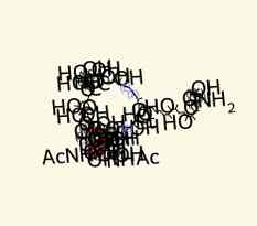 CCC1C(=O)OC(CC(O)CCCCC(C)C(O)C(C)CCC(O)C(C)C(C)O[C@H]2C[C@](C)(N)[C@H](O)[C@@H](C)O2)C(C)/C=C\C=C\C(O)C(C)C(O)CC(O)CC(O[C@@H]2OC(CO)[C@@H](O)[C@H](O)[C@H]2O)C(C)C2CC(O)C(O)C(O)(CC(O[C@H]3O[C@H](C)[C@H](O[C@@H]4O[C@H](C)[C@@H](O)[C@H](O[C@H]5C[C@@H](NC(C)=O)[C@H](O)[C@H](C)O5)[C@@H]4O)[C@H](O[C@H]4C[C@@H](NC(C)=O)[C@H](O)[C@H](C)O4)[C@@H]3O[C@@H]3O[C@@H](C)[C@@H](O)[C@H](O)C3O)C(C)CCC(O)CC(O)C/C=C/C1O)O2